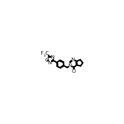 O=c1c2c(ncn1Cc1ccc(-c3noc(C(F)(F)F)n3)cc1)CCC2